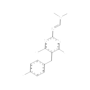 CN(C)C=Nc1nc(Cl)c(Cc2ccc(F)cc2)c(Cl)n1